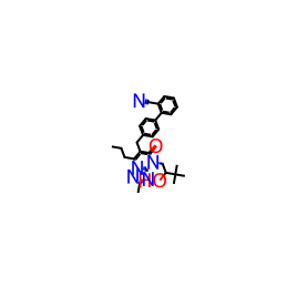 CCCc1c(Cc2ccc(-c3ccccc3C#N)cc2)c(=O)n(CC(O)C(C)(C)C)c2nc(C)nn12